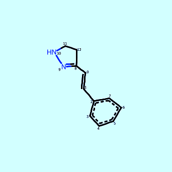 C(=Cc1ccccc1)C1=NNCC1